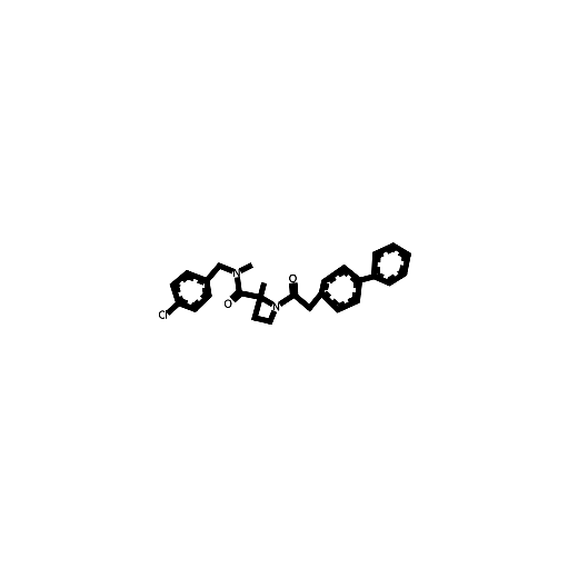 CN(Cc1ccc(Cl)cc1)C(=O)C1(C)CCN1C(=O)Cc1ccc(-c2ccccc2)cc1